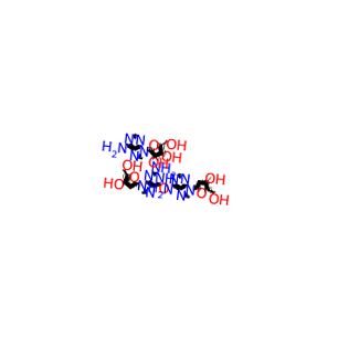 Nc1nc2c(ncn2[C@H]2C[C@H](O)[C@@H](CO)O2)c(=O)[nH]1.Nc1ncnc2c1ncn2[C@@H]1O[C@H](CO)[C@@H](O)[C@H]1O.Nc1ncnc2c1ncn2[C@H]1C[C@H](O)[C@@H](CO)O1